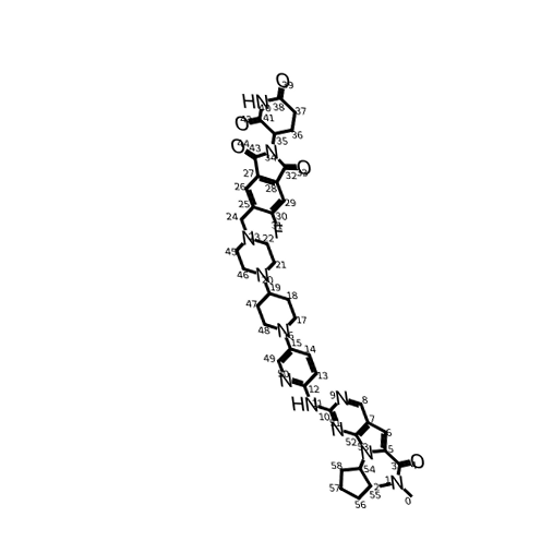 CN(C)C(=O)c1cc2cnc(Nc3ccc(N4CCC(N5CCN(Cc6cc7c(cc6F)C(=O)N(C6CCC(=O)NC6=O)C7=O)CC5)CC4)cn3)nc2n1C1CCCC1